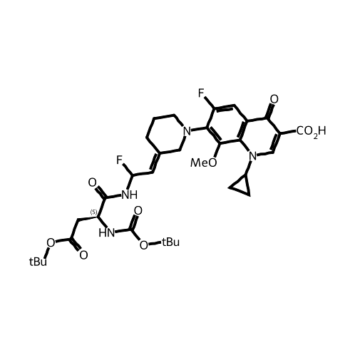 COc1c(N2CCCC(=CC(F)NC(=O)[C@H](CC(=O)OC(C)(C)C)NC(=O)OC(C)(C)C)C2)c(F)cc2c(=O)c(C(=O)O)cn(C3CC3)c12